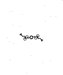 O=C(CCC1CC1)OCc1ccc(COC(=O)CCC2CC2)cc1